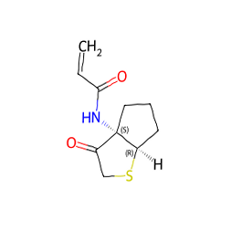 C=CC(=O)N[C@]12CCC[C@H]1SCC2=O